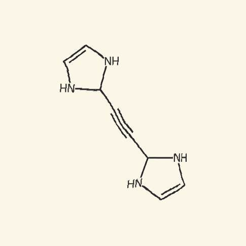 C(#CC1NC=CN1)C1NC=CN1